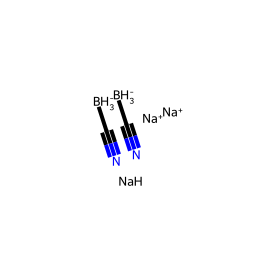 [BH3-]C#N.[BH3-]C#N.[Na+].[Na+].[NaH]